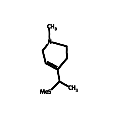 CSC(C)C1=CCN(C)CC1